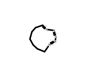 C1=N/N=N\N=N\CCCCCC/1